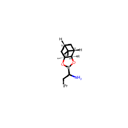 CC(C)CC(N)B1O[C@@H]2[C@H]3C[C@@H](C[C@]2(C)O1)C3(C)C